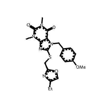 CCc1coc(CSc2nc3c(c(=O)n(C)c(=O)n3C)n2Cc2ccc(OC)cc2)n1